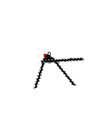 CCCCCCCCCCCCCCCCCCN(C)c1ccc2c(c1)Oc1cc(N(CCCCCCCCCCCCCCCCCC)CCCCCCCCCCCCCCCCCC)ccc1C21OC(=O)c2ccccc21